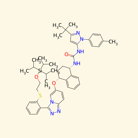 Cc1ccc(-n2nc(C(C)(C)C)cc2NC(=O)N[C@H]2CC[C@@H](Oc3ccc4nnc(-c5ccccc5SCCO[Si](C(C)C)(C(C)C)C(C)C)n4c3)c3ccccc32)cc1